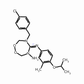 Cc1cc(/N=C2\N(N)COOCN2Cc2ccc(Cl)cc2)ccc1OC(C)C